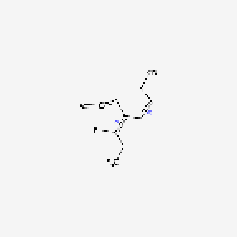 N#CC/C=C\C(N=C=S)=C(\F)CC(F)(F)F